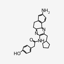 Nc1ccc2c(c1)CCc1nc(NC(=O)Cc3ccc(O)cc3)c(CC3CCCC3)nc1-2